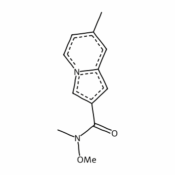 CON(C)C(=O)c1cc2cc(C)ccn2c1